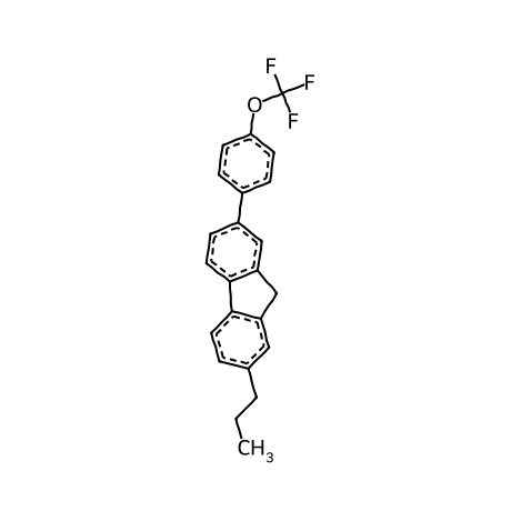 CCCc1ccc2c(c1)Cc1cc(-c3ccc(OC(F)(F)F)cc3)ccc1-2